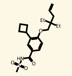 C=CCC(CC)(CC)COc1ccc(C(=O)NS(C)(=O)=O)cc1C1CCC1